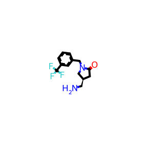 NC[C@@H]1CC(=O)N(Cc2cccc(C(F)(F)F)c2)C1